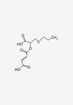 CCCSCC(OC(=O)C=CC(=O)O)C(=O)O